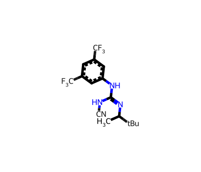 CC(/N=C(\NC#N)Nc1cc(C(F)(F)F)cc(C(F)(F)F)c1)C(C)(C)C